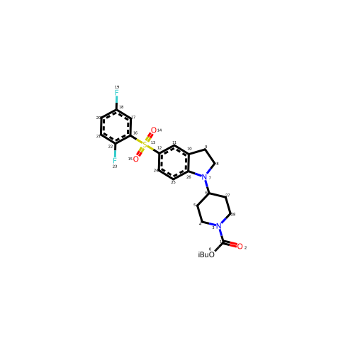 CC(C)COC(=O)N1CCC(N2CCc3cc(S(=O)(=O)c4cc(F)ccc4F)ccc32)CC1